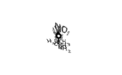 CC(C)(C(=O)NN)c1ccc([N+](=O)[O-])cc1